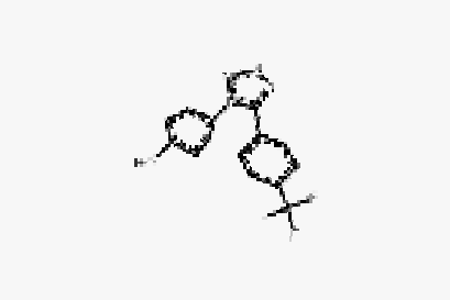 Oc1ccc(-n2nnnc2-c2ccc(C(F)(F)F)cc2)cc1